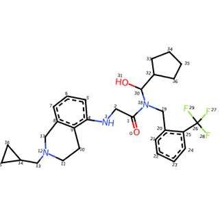 O=C(CNc1cccc2c1CCN(CC1CC1)C2)N(Cc1ccccc1C(F)(F)F)C(O)C1CCCC1